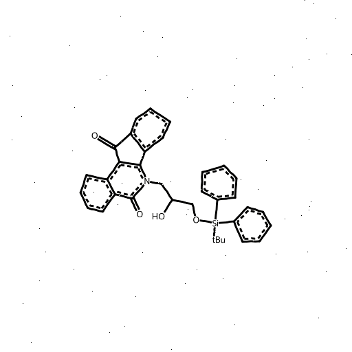 CC(C)(C)[Si](OCC(O)Cn1c2c(c3ccccc3c1=O)C(=O)c1ccccc1-2)(c1ccccc1)c1ccccc1